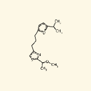 COC(C)c1nc(CCCc2ccc(C(C)C)o2)cs1